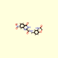 O=C1COc2ccc(CNC(=O)c3nc4cc([N+](=O)[O-])ccc4c(=O)[nH]3)cc2N1